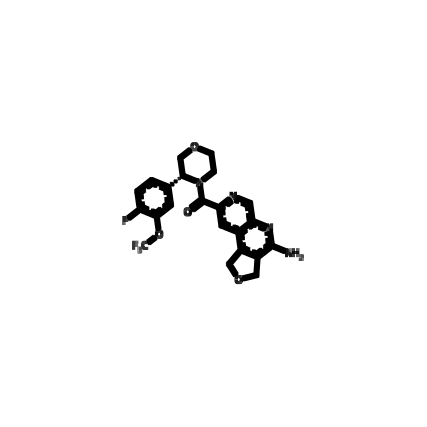 Nc1nc2cnc(C(=O)N3CCOC[C@H]3c3ccc(F)c(OC(F)(F)F)c3)cc2c2c1COC2